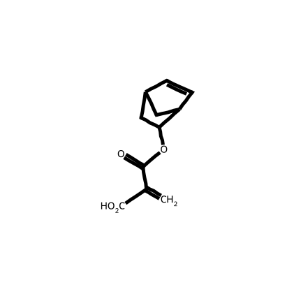 C=C(C(=O)O)C(=O)OC1CC2C=CC1C2